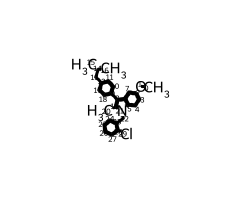 COc1ccc2c(c1)c(-c1ccc(CC(C)C)cc1)c(C)n2Cc1ccccc1Cl